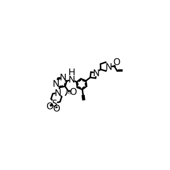 C#Cc1cc(C2CN(C3CCN(C(=O)C=C)C3)C2)cc2c1O[C@@H](C)c1c(ncnc1N1CCS(=O)(=O)CC1)N2